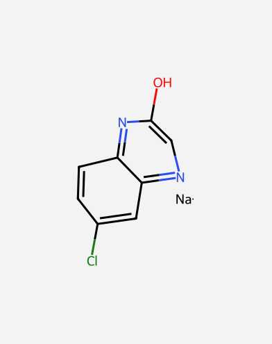 Oc1cnc2cc(Cl)ccc2n1.[Na]